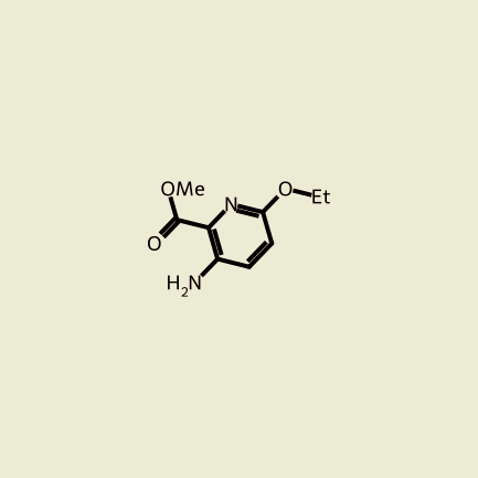 CCOc1ccc(N)c(C(=O)OC)n1